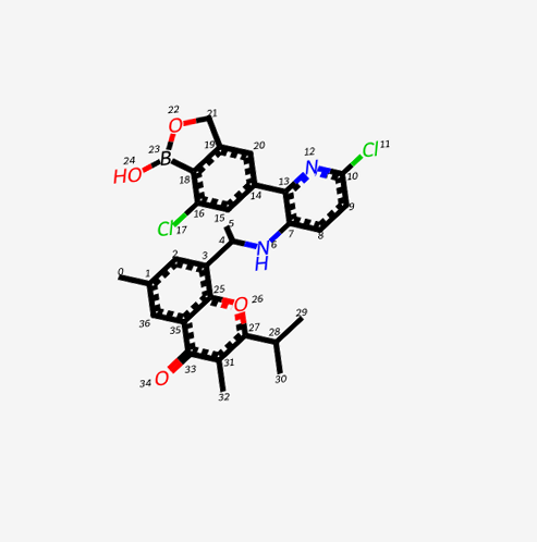 Cc1cc(C(C)Nc2ccc(Cl)nc2-c2cc(Cl)c3c(c2)COB3O)c2oc(C(C)C)c(C)c(=O)c2c1